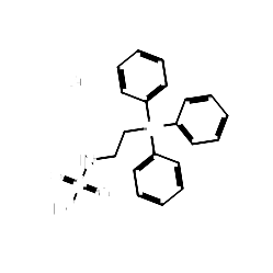 CS(=O)(=O)NCC[P+](c1ccccc1)(c1ccccc1)c1ccccc1.[Br-]